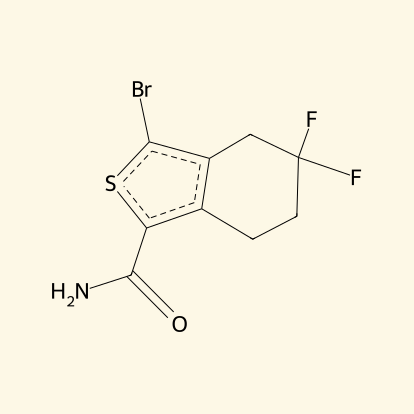 NC(=O)c1sc(Br)c2c1CCC(F)(F)C2